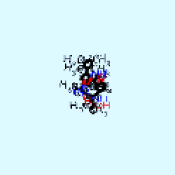 Cc1cc(C)c(C)c(-c2cccc3c2NC2Oc4ccc5cc4C32c2oc(nc2C)[C@H](C(C)C)NC(=O)[C@@H](NC(=O)[C@@H](O)C(C)C)C5)c1C